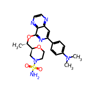 C[C@H](Oc1nc(-c2ccc(N(C)C)cc2)cc2nccnc12)[C@@H]1CN(S(N)(=O)=O)CCO1